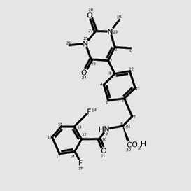 Cc1c(-c2ccc(C[C@H](NC(=O)c3c(F)cccc3F)C(=O)O)cc2)c(=O)n(C)c(=O)n1C